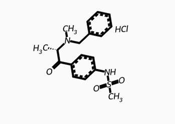 C[C@@H](C(=O)c1ccc(NS(C)(=O)=O)cc1)N(C)Cc1ccccc1.Cl